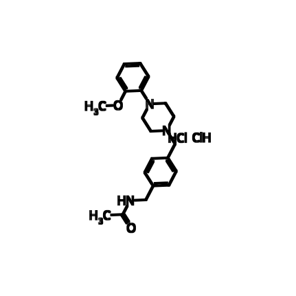 COc1ccccc1N1CCN(Cc2ccc(CNC(C)=O)cc2)CC1.Cl.Cl